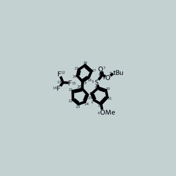 COc1ccc(SC(=O)OC(C)(C)C)cc1.FC(F)F.c1ccc(-c2ccccc2)cc1